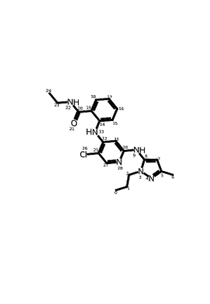 CCCn1nc(C)cc1Nc1cc(Nc2ccccc2C(=O)NCC)c(Cl)cn1